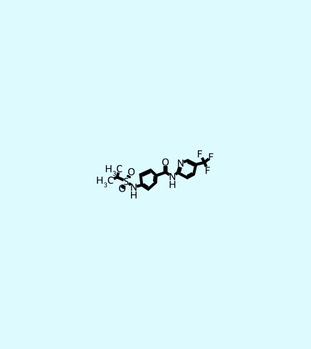 CC(C)S(=O)(=O)Nc1ccc(C(=O)Nc2ccc(C(F)(F)F)cn2)cc1